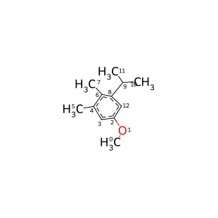 COc1cc(C)c(C)c(C(C)C)c1